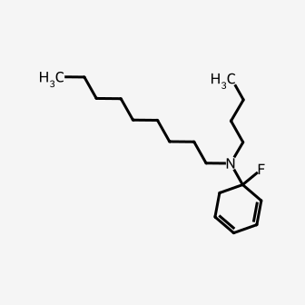 CCCCCCCCCN(CCCC)C1(F)C=CC=CC1